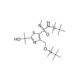 CN=S(=O)(N[Si](C)(C)C(C)(C)C)c1sc(C(C)(C)O)nc1CO[Si](C)(C)C(C)(C)C